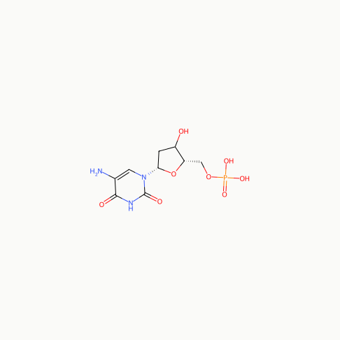 Nc1cn([C@@H]2CC(O)[C@H](COP(=O)(O)O)O2)c(=O)[nH]c1=O